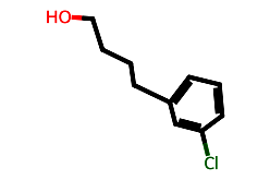 OCCCCc1cccc(Cl)c1